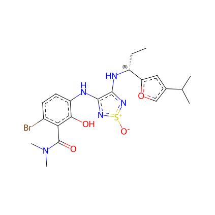 CC[C@@H](Nc1n[s+]([O-])nc1Nc1ccc(Br)c(C(=O)N(C)C)c1O)c1cc(C(C)C)co1